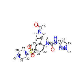 CC(=O)N1CCC2(C1)CN(C(=O)Nc1ccn(C)n1)c1ccc(S(=O)(=O)N3CCN(C)CC3)cc12